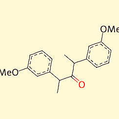 COc1cccc(C(C)C(=O)C(C)c2cccc(OC)c2)c1